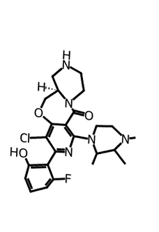 CC1C(C)N(c2nc(-c3c(O)cccc3F)c(Cl)c3c2C(=O)N2CCNC[C@@H]2CO3)CCN1C